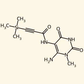 Cn1c(N)c(NC(=O)C#C[Si](C)(C)C)c(=O)[nH]c1=O